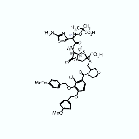 COc1ccc(COc2ccc(C(=O)N3CCOCC3CS[C@]3(C(=O)O)CN4C(=O)[C@@H](NC(=O)/C(=N\OC(C)(C)C(=O)O)c5csc(N)n5)[C@H]4S3)c(Cl)c2OCc2ccc(OC)cc2)cc1